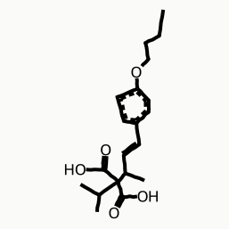 CCCCOc1ccc(C=CC(C)C(C(=O)O)(C(=O)O)C(C)C)cc1